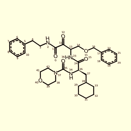 O=C(NCCc1ccccc1)C(=O)C(COCc1ccccc1)NC(=O)[C@@H](CC1CCCCC1)NC(=O)N1CCOCC1